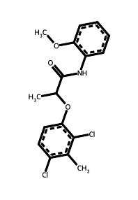 COc1ccccc1NC(=O)C(C)Oc1ccc(Cl)c(C)c1Cl